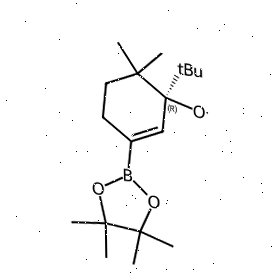 CC1(C)OB(C2=C[C@@]([O])(C(C)(C)C)C(C)(C)CC2)OC1(C)C